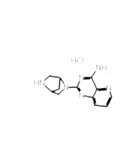 Cl.Nc1nc(N2CC3CC2CN3)nc2cccnc12